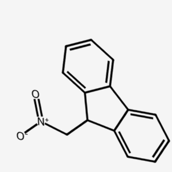 O=[N+]([O-])CC1c2ccccc2-c2ccccc21